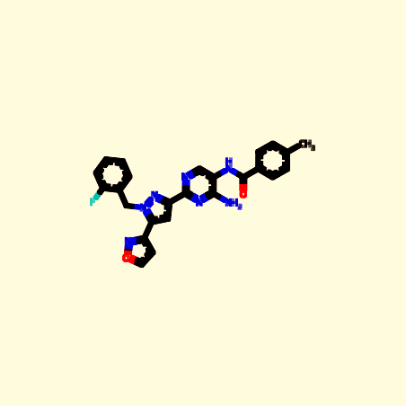 Cc1ccc(C(=O)Nc2cnc(-c3cc(-c4ccon4)n(Cc4ccccc4F)n3)nc2N)cc1